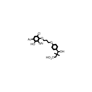 CCCc1c(O)c(C(C)=O)cc(Cl)c1OCCCOc1ccc(C(O)C(C)(C)CC(=O)O)cc1